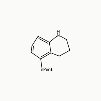 CCCCCc1cccc2c1[CH]CCN2